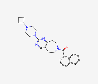 O=C(c1cccc2ccccc12)N1CCc2cnc(N3CCN(C4CCC4)CC3)nc2CC1